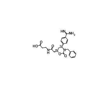 N=C(N)c1ccc([C@@H]2C[C@H](CC(=O)NCCC(=O)O)OC(=O)N2Cc2ccccc2)cc1